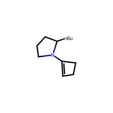 CCCCC1CCCN1C1=CCC1